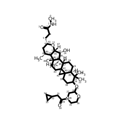 CNC(=O)CC[C@H]1C[C@@H](C)C2[C@H](O1)[C@H](O)[C@@]1(C)[C@@H]3CC[C@H]4C(C)(C)C(OC5CN(C(=O)CC6CC6)CCO5)CCC45C[C@@]35CC[C@]21C